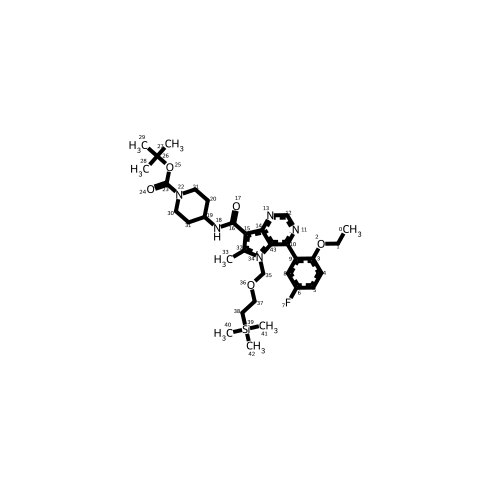 CCOc1ccc(F)cc1-c1ncnc2c(C(=O)NC3CCN(C(=O)OC(C)(C)C)CC3)c(C)n(COCC[Si](C)(C)C)c12